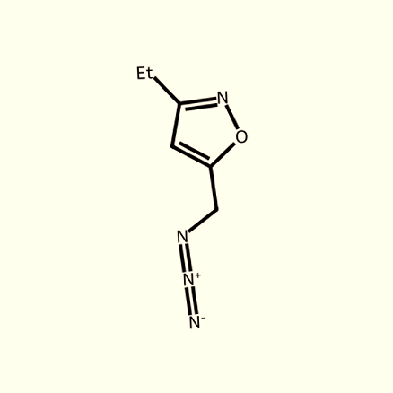 CCc1cc(CN=[N+]=[N-])on1